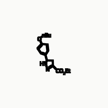 CCCCOc1ccc(C2CC(C(=O)OCC)=NN2)cc1